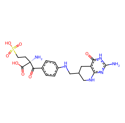 Nc1nc2c(c(=O)[nH]1)CC(CNc1ccc(C(=O)[C@](N)(CCS(=O)(=O)O)C(=O)O)cc1)CN2